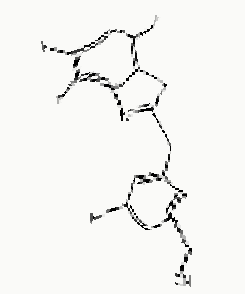 N#CCc1cc(F)cc(Cc2nc3c(F)c(F)cc(F)c3s2)c1